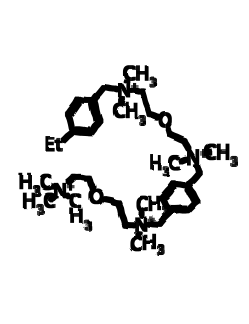 CCc1ccc(C[N+](C)(C)CCOCC[N+](C)(C)Cc2ccc(C[N+](C)(C)CCOCC[N+](C)(C)C)cc2)cc1